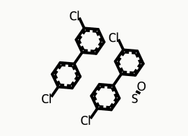 Clc1ccc(-c2cccc(Cl)c2)cc1.Clc1ccc(-c2cccc(Cl)c2)cc1.O=S